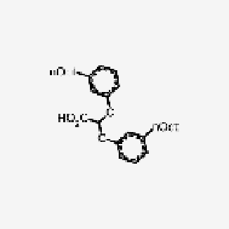 CCCCCCCCc1cccc(OC(Oc2cccc(CCCCCCCC)c2)C(=O)O)c1